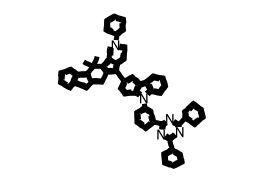 CC1(C)C2=c3ccccc3=CC2=Cc2c(-c3ccc4c(c3)c3ccccc3n4-c3cccc(-c4nc(-c5ccccc5)nc(-c5ccccc5)n4)c3)c3ccn(-c4ccccc4)cc-3c21